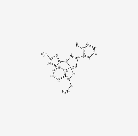 Cc1nnc(N2N=C(c3ccccc3F)SC2(CCCN)c2ccccc2)s1